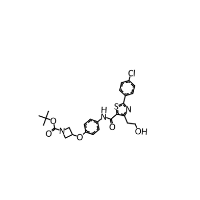 CC(C)(C)OC(=O)N1CC(Oc2ccc(NC(=O)c3sc(-c4ccc(Cl)cc4)nc3CCO)cc2)C1